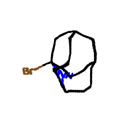 BrC12CC3CC(CC(C3)N1)C2